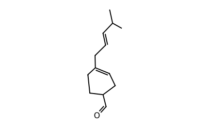 CC(C)C=CCC1=CCC(C=O)CC1